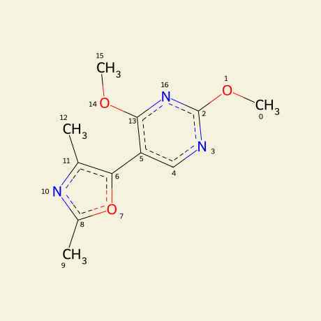 COc1ncc(-c2oc(C)nc2C)c(OC)n1